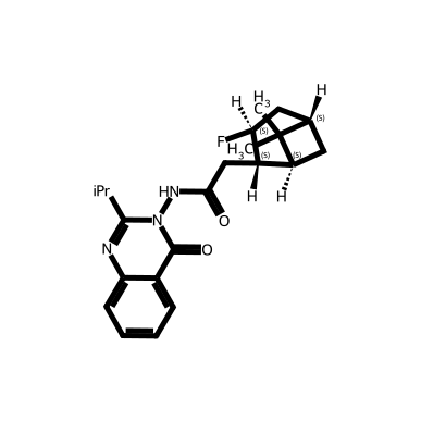 CC(C)c1nc2ccccc2c(=O)n1NC(=O)C[C@@H]1[C@@H](F)C[C@@H]2C[C@@H]1C2(C)C